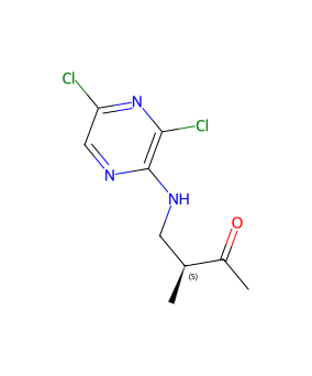 CC(=O)[C@@H](C)CNc1ncc(Cl)nc1Cl